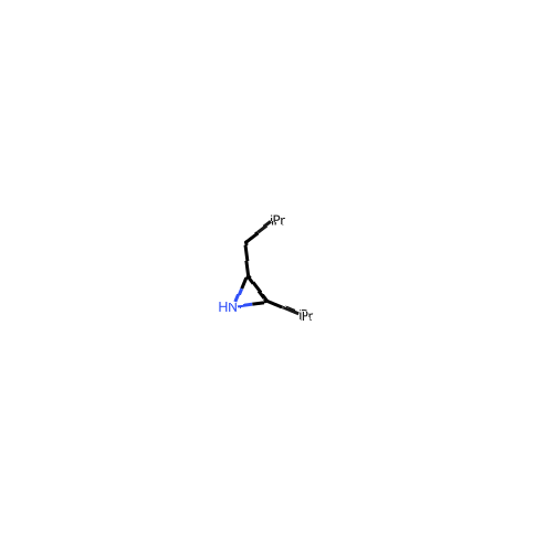 CC(C)CC1NC1C(C)C